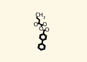 CCCC(=O)C(=O)OC(=O)c1ccc(-c2ccccc2)cc1